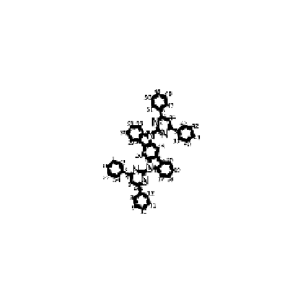 c1ccc(-c2cc(-c3ccccc3)nc(-n3c4ccccc4c4cc5c(cc43)c3ccccc3n5-c3nc(-c4ccccc4)cc(-c4ccccc4)n3)n2)cc1